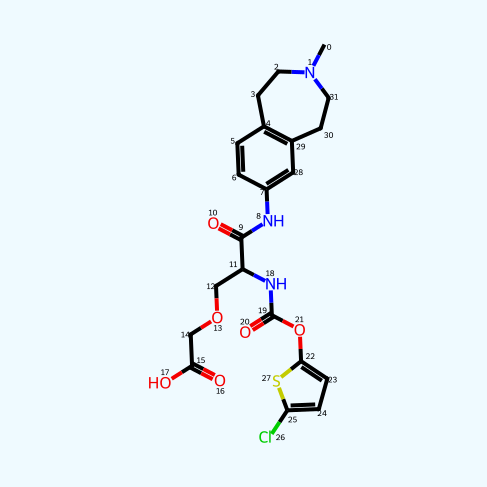 CN1CCc2ccc(NC(=O)C(COCC(=O)O)NC(=O)Oc3ccc(Cl)s3)cc2CC1